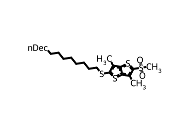 CCCCCCCCCCCCCCCCCCSc1sc2c(C)c(S(C)(=O)=O)sc2c1C